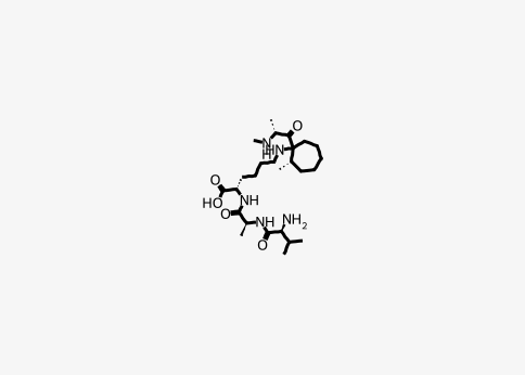 CN[C@H](C)C(=O)C1(NCCCC[C@H](NC(=O)[C@H](C)NC(=O)[C@@H](N)C(C)C)C(=O)O)CCCCC[C@@H]1C